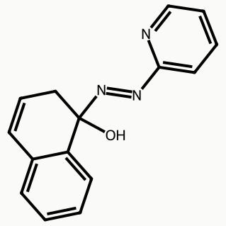 OC1(N=Nc2ccccn2)CC=Cc2ccccc21